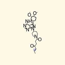 C/C=C/C(=O)CCC(=O)N1CCC(n2nc(-c3ccc(OC)c(OC)c3)c3c(N)ncnc32)CC1